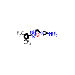 NC1C2CN(C(=O)/C=C\n3cnc(-c4cc(C(F)(F)F)cc(C(F)(F)F)c4)n3)CC12